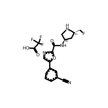 N#Cc1cccc(-c2cnc(C(=O)N[C@H]3CN[C@H](CF)C3)o2)c1.O=C(O)C(F)(F)F